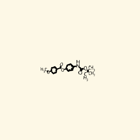 COc1ccc(C(=O)Oc2ccc(NC(=O)OC(C)(C)C)cc2)cc1